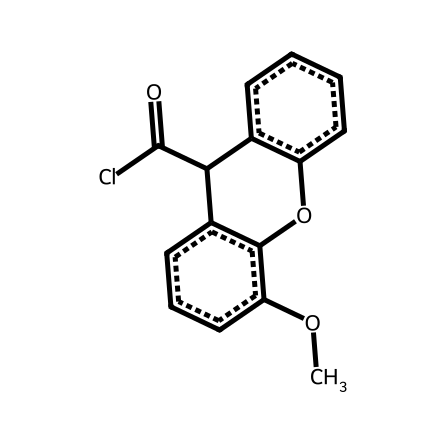 COc1cccc2c1Oc1ccccc1C2C(=O)Cl